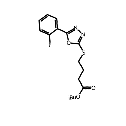 CC(C)COC(=O)CCCSc1nnc(-c2ccccc2F)o1